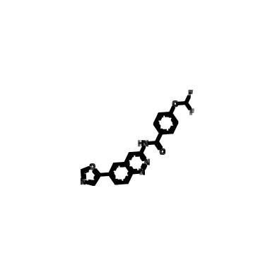 O=C(Nc1cc2cc(-c3cnco3)ccc2nn1)c1ccc(OC(F)F)cc1